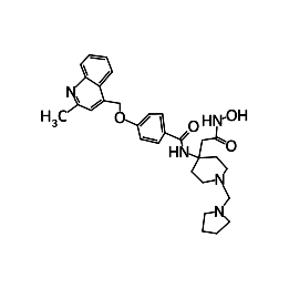 Cc1cc(COc2ccc(C(=O)NC3(CC(=O)NO)CCN(CN4CCCC4)CC3)cc2)c2ccccc2n1